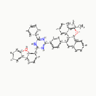 CC1(C)Oc2c(c(-c3ccc(-c4nc(-c5ccccc5)nc(-c5cccc6c5oc5ccccc56)n4)cc3)cc3ccccc23)-c2ccccc21